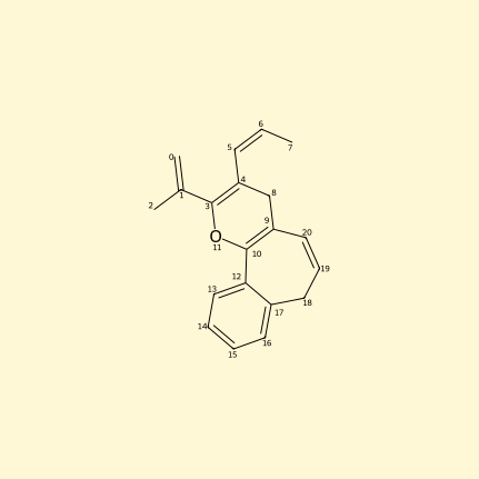 C=C(C)C1=C(/C=C\C)CC2=C(O1)c1ccccc1CC=C2